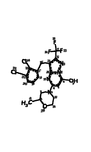 CC1CN(c2cc(O)n3nc(C(F)(F)F)c(Cc4cccc(Cl)c4Cl)c3n2)CCO1